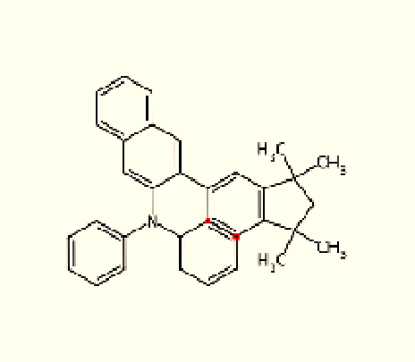 CC1(C)CC(C)(C)c2cc(-c3cc4ccccc4cc3N(c3ccccc3)c3ccccc3)ccc21